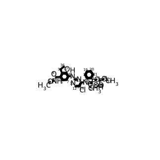 CONC(=O)c1ccc(Nc2ncc(Cl)c(Nc3ccccc3P(=O)(OC)O[PH](=O)OC)n2)c2c1CCO2